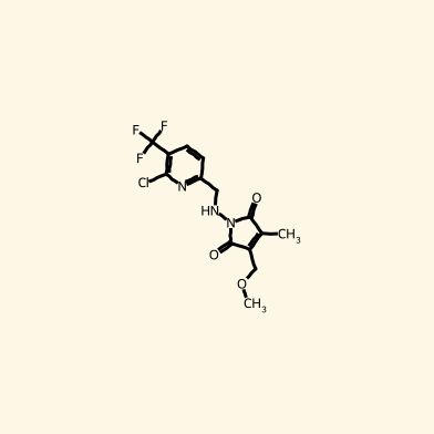 COCC1=C(C)C(=O)N(NCc2ccc(C(F)(F)F)c(Cl)n2)C1=O